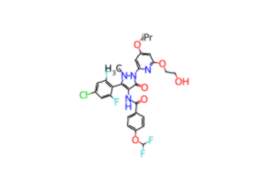 CC(C)Oc1cc(OCCO)nc(-n2c(=O)c(NC(=O)c3ccc(OC(F)F)cc3)c(-c3c(F)cc(Cl)cc3F)n2C)c1